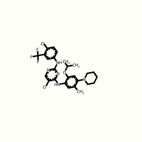 Cc1cc(Nc2nc(Nc3ccc(Cl)c(C(F)(F)F)c3)ncc2Cl)c(OC(C)C)cc1N1CCCCC1